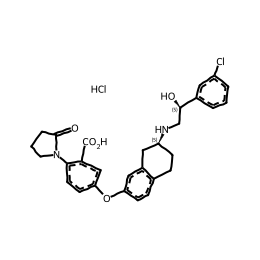 Cl.O=C(O)c1cc(Oc2ccc3c(c2)C[C@@H](NC[C@@H](O)c2cccc(Cl)c2)CC3)ccc1N1CCCC1=O